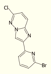 Clc1ccc2nc(-c3cccc(Br)n3)cn2n1